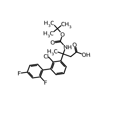 CC(C)(C)OC(=O)NC(C)(CC(=O)O)c1cccc(-c2ccc(F)cc2F)c1Cl